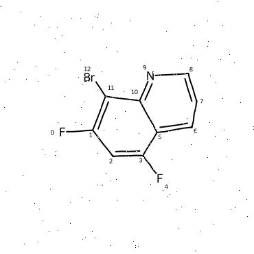 Fc1cc(F)c2cccnc2c1Br